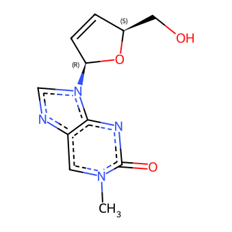 Cn1cc2ncn([C@H]3C=C[C@@H](CO)O3)c2nc1=O